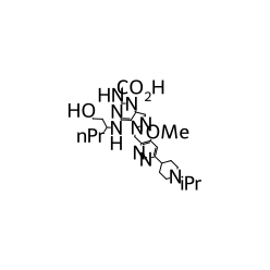 CCCC(CCO)Nc1nc(NC(=O)O)nc2cnn(Cc3nnc(C4CCN(C(C)C)CC4)cc3OC)c12